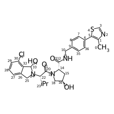 Cc1ncsc1-c1ccc(CNC(=O)[C@@H]2C[C@@H](O)CN2C(=O)[C@H](C(C)C)N2Cc3cccc(Cl)c3C2O)cc1